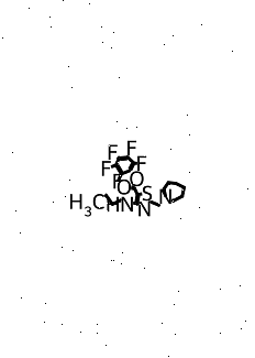 CCCCNc1nc(CN2CCCCCC2)sc1C(=O)Oc1c(F)c(F)c(F)c(F)c1F